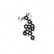 O=C1c2cccc(-n3c4ccccc4c4ccc(-c5cc(C(F)(F)F)cc(C(F)(F)F)c5)cc43)c2C(=O)N1c1c(-c2ccccc2)cc(-c2ccccc2)cc1-c1ccccc1